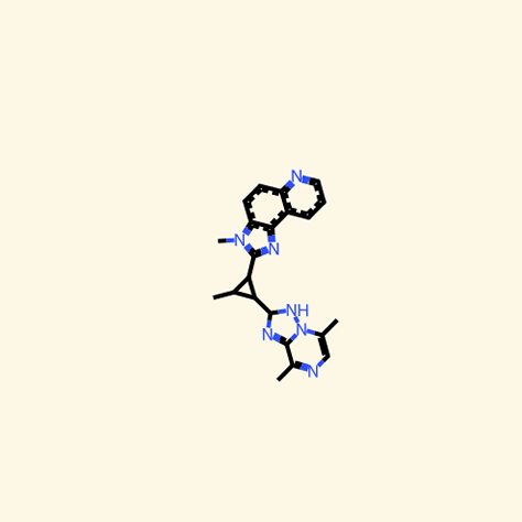 CC1=CN=C(C)C2=NC(C3C(C)C3c3nc4c5cccnc5ccc4n3C)NN12